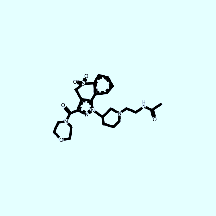 CC(=O)NCCN1CCCC(n2nc(C(=O)N3CCOCC3)c3c2-c2ccccc2S(=O)(=O)C3)C1